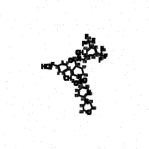 Cc1cc(F)ccc1C1CN(S(=O)(=O)c2ccc(N3CCOCC3)nc2)CCC1C(=O)N(C)Cc1cc(C(F)(F)F)cc(C(F)(F)F)c1.Cl